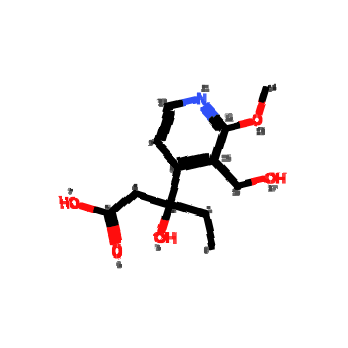 CCC(O)(CC(=O)O)c1ccnc(OC)c1CO